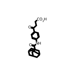 O=C(O)CCC(=O)c1ccc(NC(=O)C23CC4CC(CC(C4)C2)C3)cc1